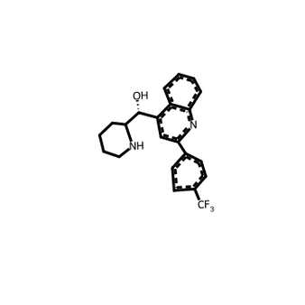 O[C@H](c1cc(-c2ccc(C(F)(F)F)cc2)nc2ccccc12)C1CCCCN1